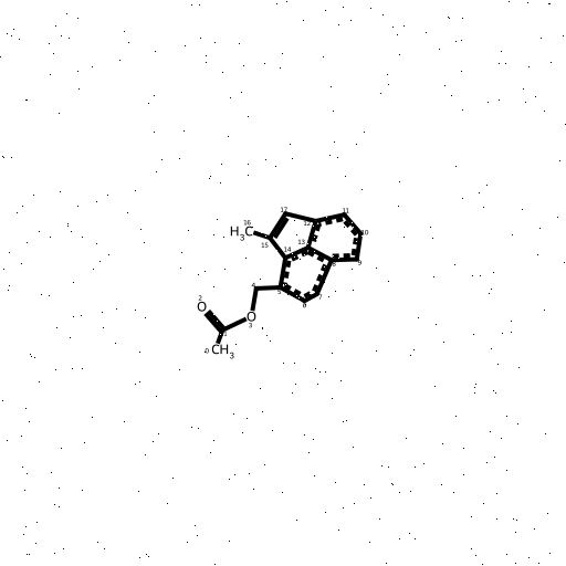 CC(=O)OCc1ccc2cccc3c2c1C(C)=C3